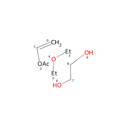 C=COC(C)=O.CCOCC.OCCO